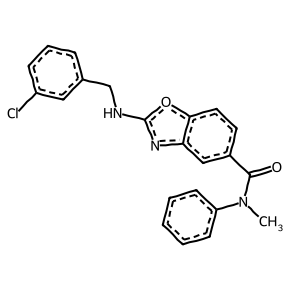 CN(C(=O)c1ccc2oc(NCc3cccc(Cl)c3)nc2c1)c1ccccc1